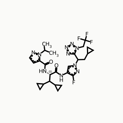 CC(C)n1nccc1C(=O)N[C@H](C(=O)Nc1cn(C(CC2CC2)c2nnnn2CC(F)(F)F)nc1F)C(C1CC1)C1CC1